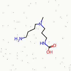 CN(CCCCN)CCCNC(=O)O